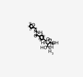 C[C@@H](O)C(NC(=O)c1ccc(C(=O)N/N=C/c2ccco2)cc1)C(=O)NO